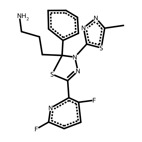 Cc1nnc(N2N=C(c3nc(F)ccc3F)SC2(CCCN)c2ccccc2)s1